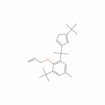 C=CCOc1c(C(C)(C)C2=CCC(C(C)(C)C)=C2)cc(C)cc1[Si](C)(C)C